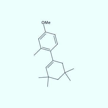 COc1ccc(C2=CC(C)(C)CC(C)(C)C2)c(C)c1